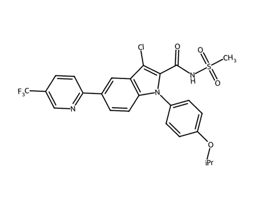 CC(C)Oc1ccc(-n2c(C(=O)NS(C)(=O)=O)c(Cl)c3cc(-c4ccc(C(F)(F)F)cn4)ccc32)cc1